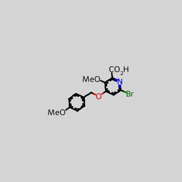 COc1ccc(COc2cc(Br)nc(C(=O)O)c2OC)cc1